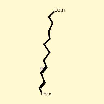 CCCCCCC=C/C=C/CCCCCCCC(=O)O